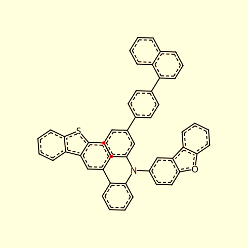 c1cc(-c2ccc(-c3cccc4ccccc34)cc2)cc(N(c2ccc3oc4ccccc4c3c2)c2ccccc2-c2ccc3sc4ccccc4c3c2)c1